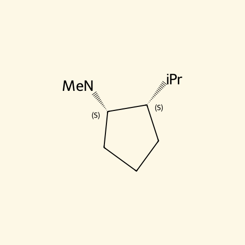 CN[C@H]1CCC[C@H]1C(C)C